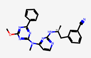 COc1nc(-c2ccccc2)nc(N(C)c2ccnc(N[C@@H](C)Cc3cccc(C#N)c3)n2)n1